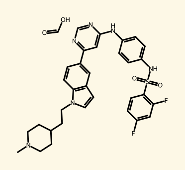 CN1CCC(CCn2ccc3cc(-c4cc(Nc5ccc(NS(=O)(=O)c6ccc(F)cc6F)cc5)ncn4)ccc32)CC1.O=CO